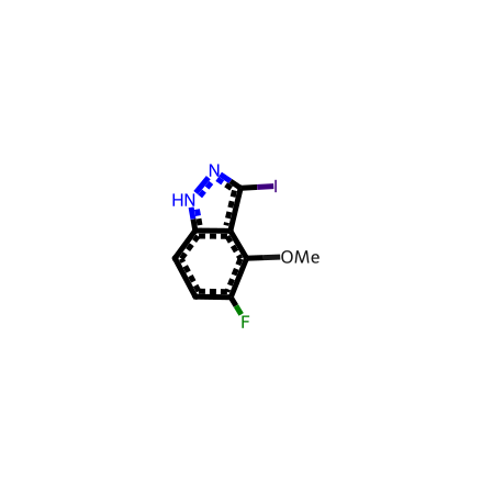 COc1c(F)ccc2[nH]nc(I)c12